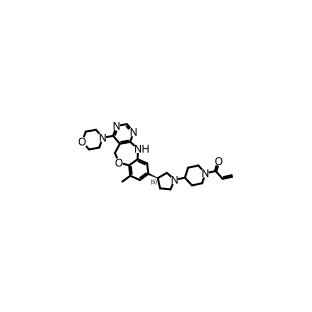 C=CC(=O)N1CCC(N2CC[C@@H](c3cc(C)c4c(c3)Nc3ncnc(N5CCOCC5)c3CO4)C2)CC1